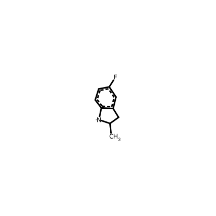 CC1Cc2cc(F)ccc2[N]1